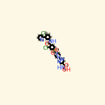 O=C(NO)c1cnc(N2CCN(S(=O)(=O)c3ccc(C(=O)Nc4ccc(Cl)c(-c5ccccn5)c4)c(Cl)c3)CC2)nc1